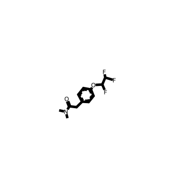 CN(C)C(=O)Cc1ccc(OC(F)C(F)F)cc1